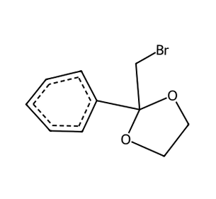 BrCC1(c2ccccc2)OCCO1